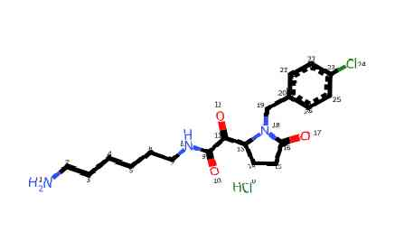 Cl.NCCCCCCNC(=O)C(=O)C1CCC(=O)N1Cc1ccc(Cl)cc1